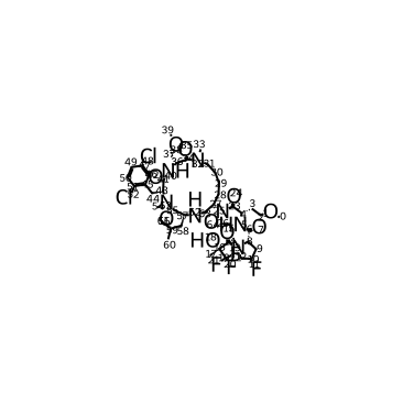 COCC[C@H](NC(=O)[C@@H]1C[C@@H](F)CN1C(=O)[C@@](C)(O)C(F)(F)F)C(=O)N(C)[C@H]1CCCCN(C)C(=O)[C@@H](COC)NC(=O)[C@H](Cc2cc(Cl)ccc2Cl)N(C)C(=O)[C@H](CC(C)C)NC1=O